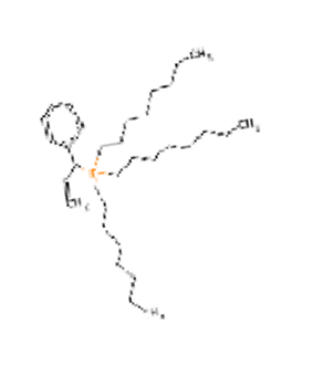 C=CC(c1ccccc1)[PH](CCCCCCCC)(CCCCCCCC)CCCCCCCC